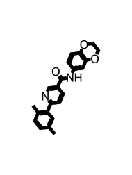 Cc1ccc(C)c(-c2ccc(C(=O)Nc3ccc4c(c3)OCCO4)cn2)c1